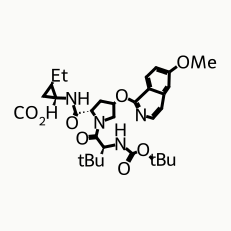 CC[C@@H]1C[C@]1(NC(=O)[C@@H]1C[C@@H](Oc2nccc3cc(OC)ccc23)CN1C(=O)[C@@H](NC(=O)OC(C)(C)C)C(C)(C)C)C(=O)O